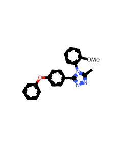 COc1ccccc1-n1c(C)nnc1-c1ccc(Oc2ccccc2)cc1